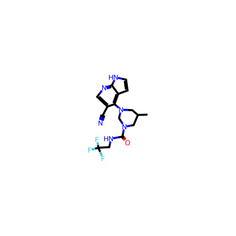 CC1CN(C(=O)NCC(F)(F)F)CN(c2c(C#N)cnc3[nH]ccc23)C1